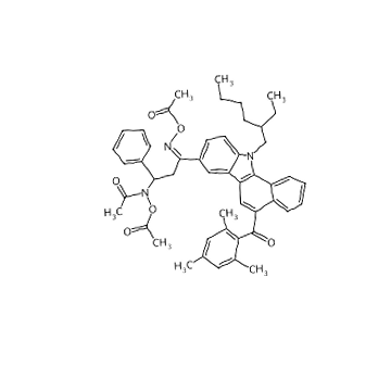 CCCCC(CC)Cn1c2ccc(/C(CC(c3ccccc3)N(OC(C)=O)C(C)=O)=N\OC(C)=O)cc2c2cc(C(=O)c3c(C)cc(C)cc3C)c3ccccc3c21